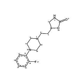 O=C1NCC(CCN2CCN(c3ccccc3F)CC2)O1